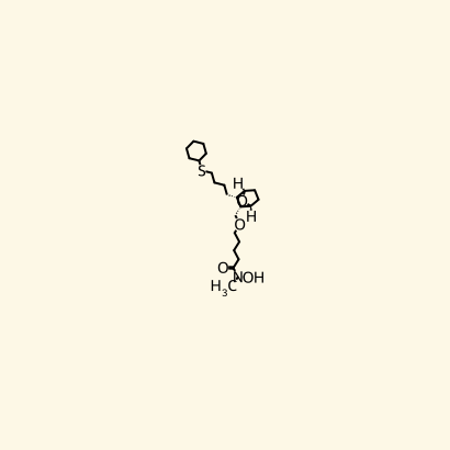 CN(O)C(=O)CCCCOC[C@@H]1[C@H](CCCCSC2CCCCC2)[C@@H]2CC[C@H]1O2